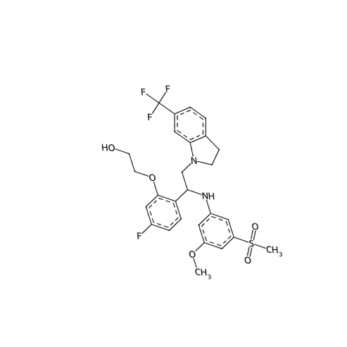 COc1cc(NC(CN2CCc3ccc(C(F)(F)F)cc32)c2ccc(F)cc2OCCO)cc(S(C)(=O)=O)c1